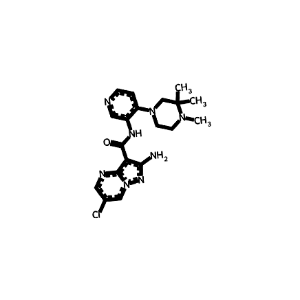 CN1CCN(c2ccncc2NC(=O)c2c(N)nn3cc(Cl)cnc23)CC1(C)C